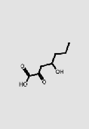 CCCC(O)CC(=O)C(=O)O